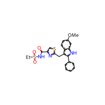 CCS(=O)(=O)NC(=O)c1csc(Cc2c(-c3ccccc3)[nH]c3cc(OC)ccc23)n1